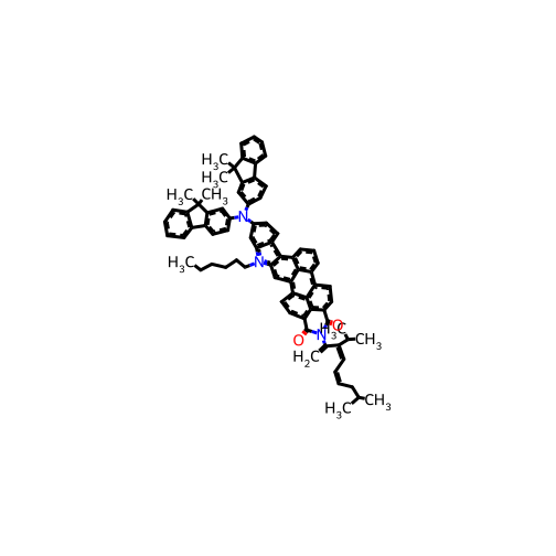 C=C(/C(=C\C=C/CC(C)C)C(C)C)N1C(=O)c2ccc3c4cccc5c4c(cc4c5c5ccc(N(c6ccc7c(c6)C(C)(C)c6ccccc6-7)c6ccc7c(c6)C(C)(C)c6ccccc6-7)cc5n4CCCCCC)c4ccc(c2c34)C1=O